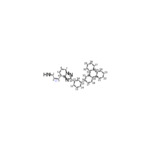 N=C/C=C\c1cccn2nc(-c3cccc(-c4ccc5c6ccccc6c6ccccc6c5c4)c3)nc12